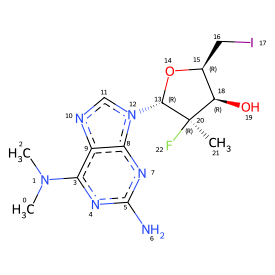 CN(C)c1nc(N)nc2c1ncn2[C@@H]1O[C@@H](CI)[C@@H](O)[C@@]1(C)F